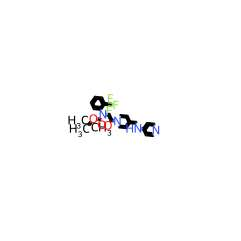 CC(C)(C)OC(=O)N(CC(=O)N1CCC(CNc2ccncc2)CC1)c1ccccc1C(F)(F)F